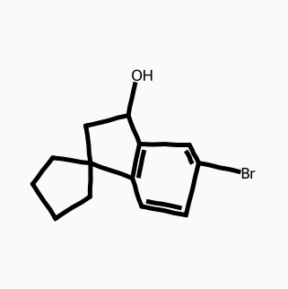 OC1CC2(CCCC2)c2ccc(Br)cc21